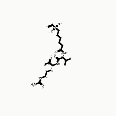 C=CS(=O)(=O)CCCCCC(=O)N[C@@H](C(=O)N[C@H](CCCNC(N)=O)C(C)=O)C(C)C